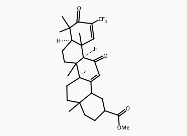 COC(=O)C1CCC2(C)CC[C@]3(C)C(=CC(=O)[C@@H]4C5(C)C=C(C(F)(F)F)C(=O)C(C)(C)[C@@H]5CCC43C)C2C1